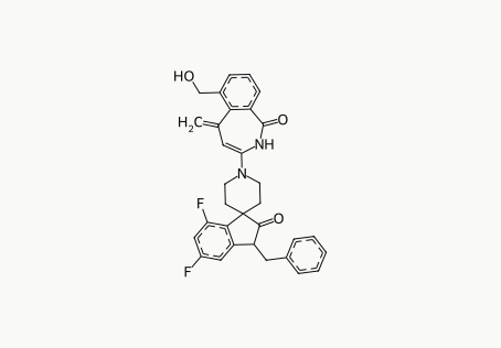 C=C1C=C(N2CCC3(CC2)C(=O)C(Cc2ccccc2)c2cc(F)cc(F)c23)NC(=O)c2cccc(CO)c21